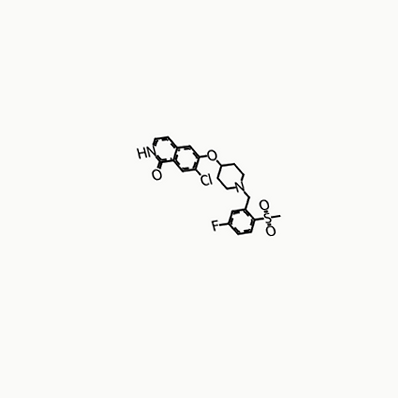 CS(=O)(=O)c1ccc(F)cc1CN1CCC(Oc2cc3cc[nH]c(=O)c3cc2Cl)CC1